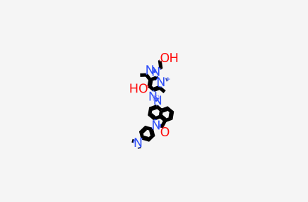 Cc1nn(CCO)c2c1c(O)c(/N=N/c1ccc3c4c(cccc14)C(=O)N3c1ccc(N(C)C)cc1)c(C)[n+]2C